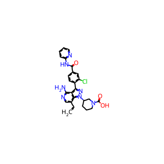 C=Cc1cnc(N)c2c(-c3ccc(C(=O)Nc4ccccn4)cc3Cl)nn([C@@H]3CCCN(C(=O)O)C3)c12